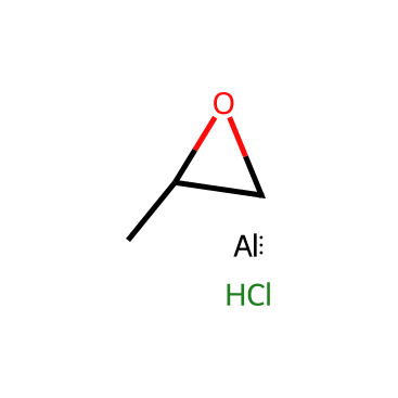 CC1CO1.Cl.[Al]